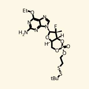 CCOc1nc(N)nc2c1ncn2[C@@H]1O[C@@H]2CO[P@](=O)(OCCSSC(C)(C)C)O[C@H]2[C@@]1(C)F